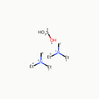 CCN(C)CC.CCN(C)CC.O=S(=O)(O)O